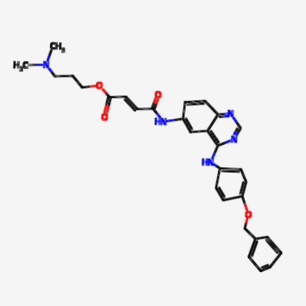 CN(C)CCCOC(=O)C=CC(=O)Nc1ccc2ncnc(Nc3ccc(OCc4ccccc4)cc3)c2c1